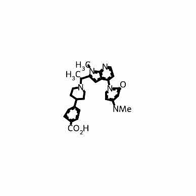 CNc1ccn(-c2ccnc3c2cc([C@H](C)N2CCC(c4ccc(C(=O)O)cc4)CC2)n3C)c(=O)c1